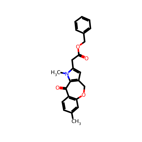 Cc1ccc2c(c1)OCc1cc(CC(=O)OCc3ccccc3)n(C)c1C2=O